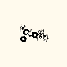 O=S(=O)(Nc1ncns1)c1cc(F)c(CN2CC[C@H](C(F)(F)F)C[C@H]2c2ccccc2)cc1F